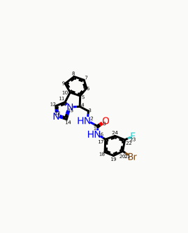 O=C(NCC1c2ccccc2-c2cncn21)Nc1ccc(Br)c(F)c1